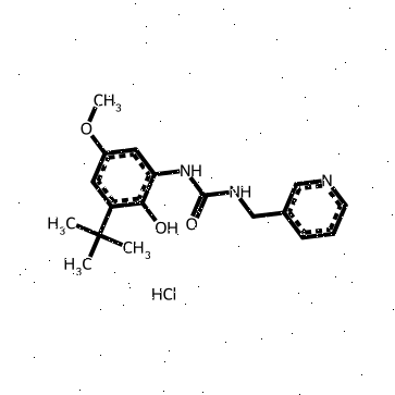 COc1cc(NC(=O)NCc2cccnc2)c(O)c(C(C)(C)C)c1.Cl